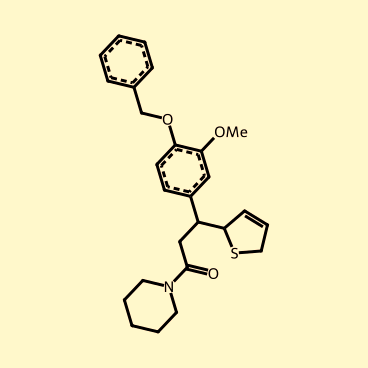 COc1cc(C(CC(=O)N2CCCCC2)C2C=CCS2)ccc1OCc1ccccc1